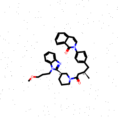 COCCCn1c([C@@H]2CCCN(C(=O)C[C@H](C)Cc3ccc(-n4ccc5ccccc5c4=O)cc3)C2)nc2ccccc21